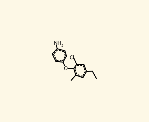 CCc1cc(C)c(Oc2ccc(N)cc2)c(Cl)c1